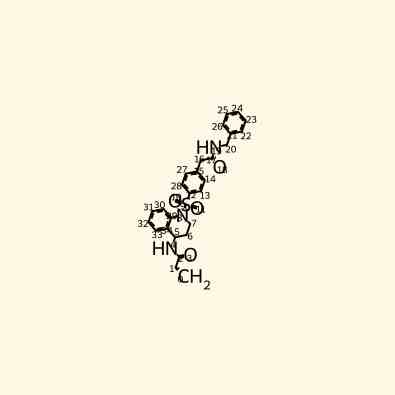 C=CC(=O)NC1CCN(S(=O)(=O)c2ccc(CC(=O)NCc3ccccc3)cc2)c2ccccc21